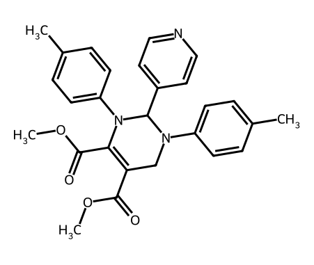 COC(=O)C1=C(C(=O)OC)N(c2ccc(C)cc2)C(c2ccncc2)N(c2ccc(C)cc2)C1